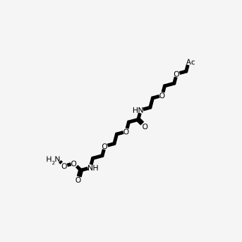 CC(=O)COCCOCCNC(=O)COCCOCCNC(=O)OON